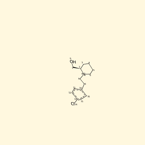 OC[C@H]1CCCCN1CCc1ccc(Cl)cc1